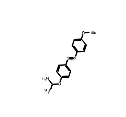 CCCCOc1ccc(/N=N/c2ccc(OC(C)N)cc2)cc1